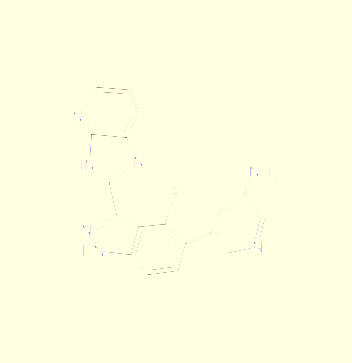 Nc1cncc(-c2ccc3[nH]nc(-c4nc5cccnc5[nH]4)c3c2F)c1